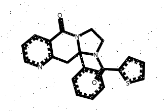 O=C(c1cccs1)N1CCN2C(=O)c3cccnc3CC12c1ccccc1